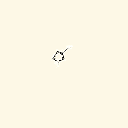 Brc1c[c][nH]c1